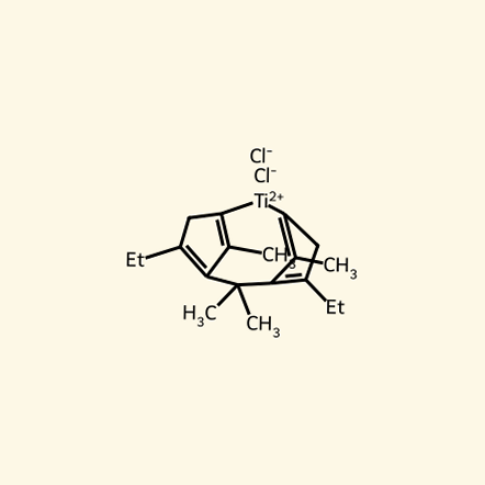 CCC1=C2C(C)=[C](C1)[Ti+2][C]1=C(C)C(=C(CC)C1)C2(C)C.[Cl-].[Cl-]